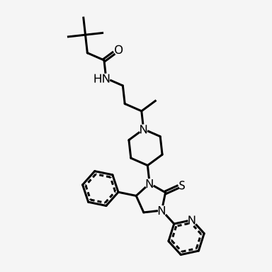 CC(CCNC(=O)CC(C)(C)C)N1CCC(N2C(=S)N(c3ccccn3)CC2c2ccccc2)CC1